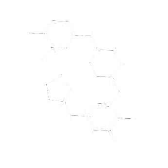 Cc1ccc(CN2CCN(Cc3oc(CN4CCCC4)cc(=O)c3O)CC2)cc1C